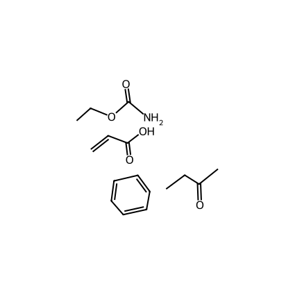 C=CC(=O)O.CCC(C)=O.CCOC(N)=O.c1ccccc1